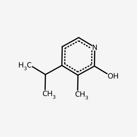 Cc1c(C(C)C)ccnc1O